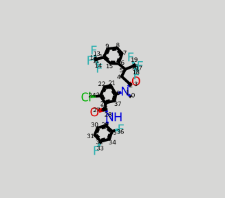 CN(C(=O)CC(c1cccc(C(F)(F)F)c1)C(F)(F)F)c1ccc(Cl)c(C(=O)Nc2ccc(F)cc2F)c1